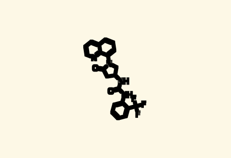 O=C(Nc1ccccc1C(F)(F)F)NC1CC(=O)N(c2cccc3cccnc23)C1